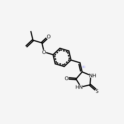 C=C(C)C(=O)Oc1ccc(/C=C2/NC(=S)NC2=O)cc1